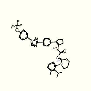 Cc1cccc(N2CCCS/C2=N\C(=O)NC2=C(c3ccc(-c4ncn(-c5ccc(OC(F)(F)F)cc5)n4)cc3)CCC2)c1C(C)C